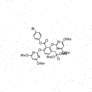 COc1cc(OC)nc(Oc2ccc(CP(=O)(OC)OC)c(Oc3nc(OC)cc(OC)n3)c2C(=O)Oc2ccc(Br)cc2)n1